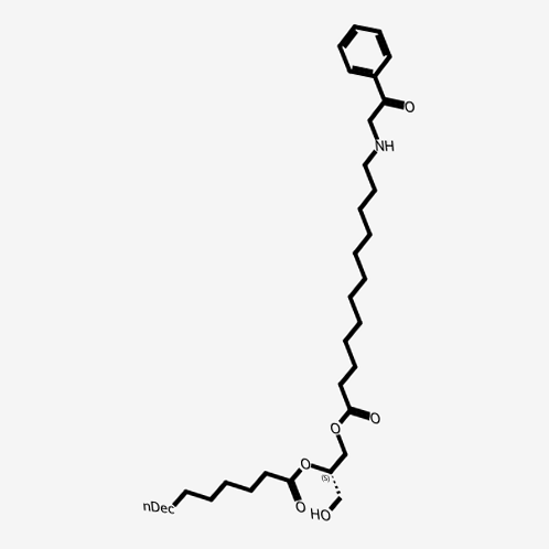 CCCCCCCCCCCCCCCC(=O)O[C@@H](CO)COC(=O)CCCCCCCCCCCNCC(=O)c1ccccc1